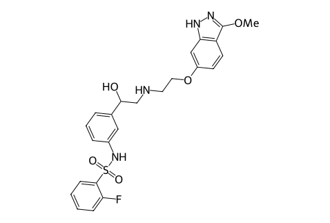 COc1n[nH]c2cc(OCCNCC(O)c3cccc(NS(=O)(=O)c4ccccc4F)c3)ccc12